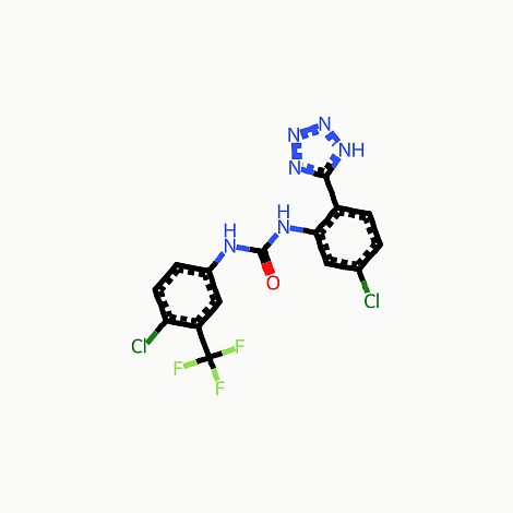 O=C(Nc1ccc(Cl)c(C(F)(F)F)c1)Nc1cc(Cl)ccc1-c1nnn[nH]1